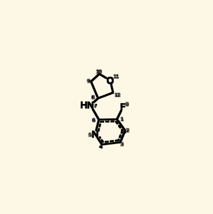 Fc1[c]ccnc1NC1CCOC1